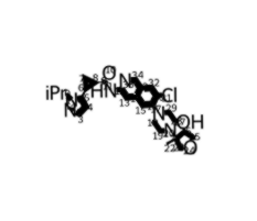 CC(C)n1nccc1[C@H]1C[C@@H]1C(=O)Nc1cc2cc(N3CCN([C@@]4(C)COC[C@H]4O)CC3)c(Cl)cc2cn1